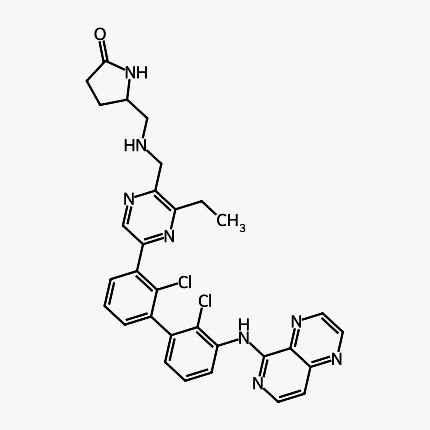 CCc1nc(-c2cccc(-c3cccc(Nc4nccc5nccnc45)c3Cl)c2Cl)cnc1CNCC1CCC(=O)N1